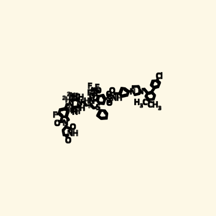 [2H]C1([2H])N(CC[C@H](CSc2ccccc2)Nc2ccc(S(=O)(=O)NC(=O)c3ccc(N4CCN(CC5=C(c6ccc(Cl)cc6)CCC(C)(C)C5)CC4)cc3)cc2S(=O)(=O)C(F)(F)F)C([2H])([2H])C([2H])([2H])N(Cc2cc(F)c3c(c2)CN(C2CCC(=O)NC2=O)C3=O)C1([2H])[2H]